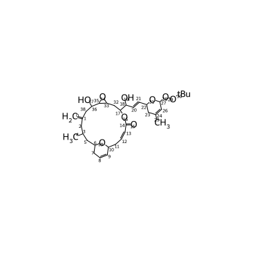 C=C1CC(C)CC2CC=CC(CC=CC(=O)OC(C(O)C=CC3CC(C)=CC(OOC(C)(C)C)O3)CC3OC3C(O)C1)O2